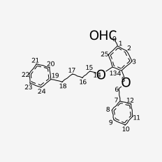 O=Cc1ccc(OCc2ccccc2)c(OCCCCc2ccccc2)c1